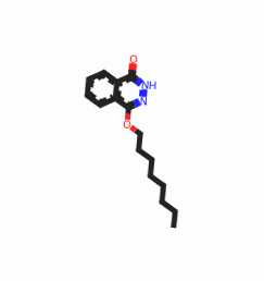 CCCCCCCCOc1n[nH]c(=O)c2ccccc12